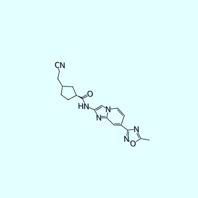 Cc1nc(-c2ccn3cc(NC(=O)[C@H]4CCC(CCC#N)C4)nc3c2)no1